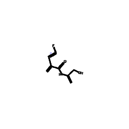 C=C(CO)NC(=O)C(=C)/C=C/F